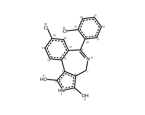 Oc1[nH]c(O)c2c1CN=C(c1ccccc1Cl)c1cc(Cl)ccc1-2